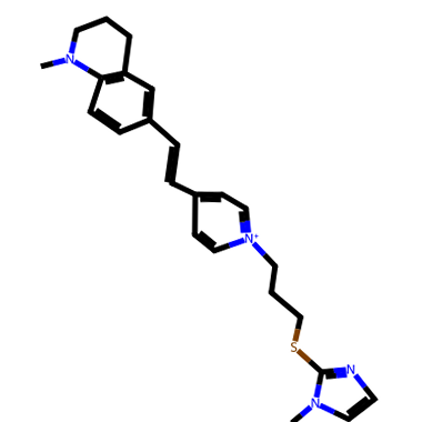 CN1CCCc2cc(/C=C/c3cc[n+](CCCSc4nccn4C)cc3)ccc21